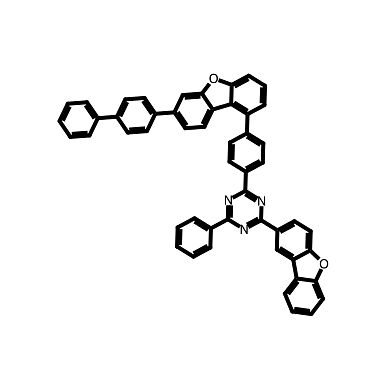 c1ccc(-c2ccc(-c3ccc4c(c3)oc3cccc(-c5ccc(-c6nc(-c7ccccc7)nc(-c7ccc8oc9ccccc9c8c7)n6)cc5)c34)cc2)cc1